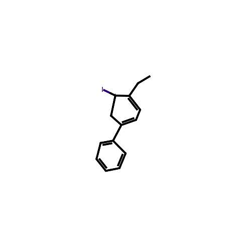 CCC1=CC=C(c2ccccc2)C[C]1I